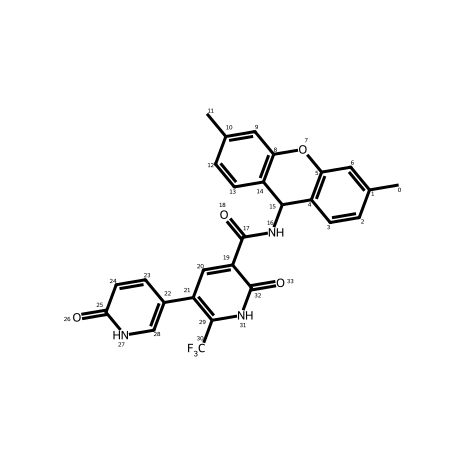 Cc1ccc2c(c1)Oc1cc(C)ccc1C2NC(=O)c1cc(-c2ccc(=O)[nH]c2)c(C(F)(F)F)[nH]c1=O